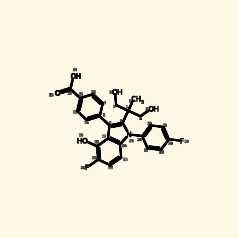 CC(CO)(CO)c1c(-c2ccc(C(=O)O)cc2)c2c(O)c(F)ccc2n1-c1ccc(F)cc1